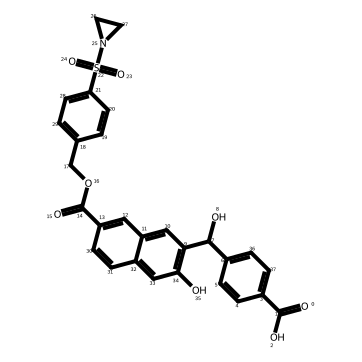 O=C(O)c1ccc(C(O)c2cc3cc(C(=O)OCc4ccc(S(=O)(=O)N5CC5)cc4)ccc3cc2O)cc1